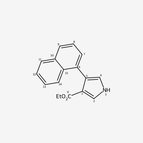 CCOC(=O)c1c[nH]cc1-c1cccc2ccccc12